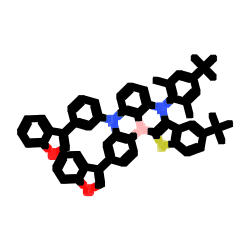 Cc1cc(C(C)(C)C)cc(C)c1N1c2cccc3c2B(c2ccc(-c4coc5ccccc45)cc2N3c2cccc(-c3coc4ccccc34)c2)c2sc3ccc(C(C)(C)C)cc3c21